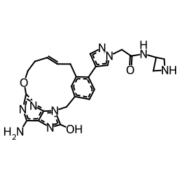 Nc1nc2nc3c1nc(O)n3Cc1ccc(-c3cnn(CC(=O)NC4CNC4)c3)c(c1)C/C=C/CCO2